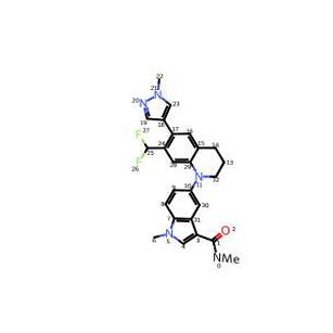 CNC(=O)c1cn(C)c2ccc(N3CCCc4cc(-c5cnn(C)c5)c(C(F)F)cc43)cc12